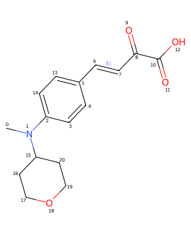 CN(c1ccc(/C=C/C(=O)C(=O)O)cc1)C1CCOCC1